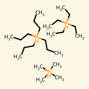 CCC[PH](CCC)(CCC)CCC.CC[PH](CC)(CC)CC.C[PH](C)(C)C